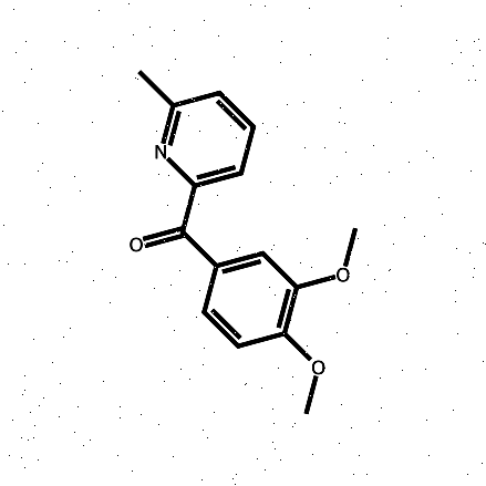 COc1ccc(C(=O)c2cccc(C)n2)cc1OC